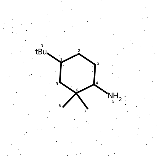 CC(C)(C)C1CCC(N)C(C)(C)C1